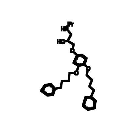 CC(C)NC[C@@H](O)COc1ccc(OCCCCc2ccccc2)c(OCCCCc2ccccc2)c1